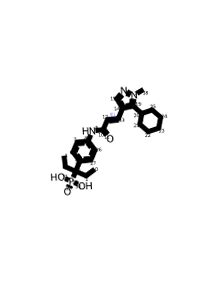 CCC(CC)(c1ccc(NC(=O)/C=C/c2cnn(C)c2C2CCCCC2)cc1)P(=O)(O)O